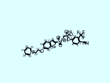 N#Cc1ccc(OP(=O)(O)CNS(=O)(=O)c2cc3ccc(OCC[n+]4ccccc4)cc3s2)cc1C(F)(F)F